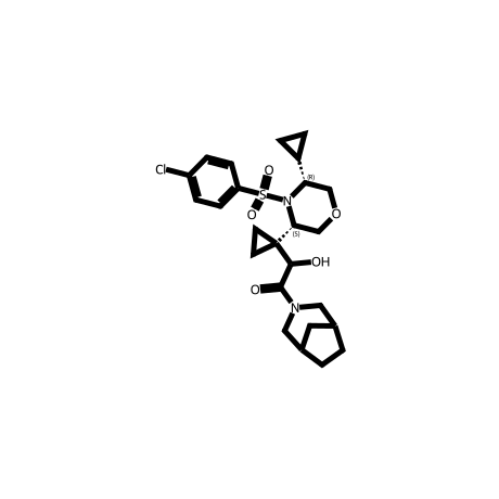 O=C(C(O)C1([C@H]2COC[C@@H](C3CC3)N2S(=O)(=O)c2ccc(Cl)cc2)CC1)N1CC2CCC(C2)C1